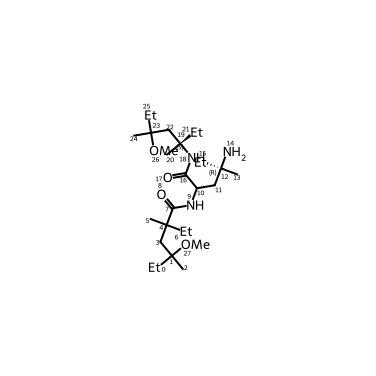 CCC(C)(CC(C)(CC)C(=O)NC(C[C@](C)(N)CC)C(=O)N[C@@](C)(CC)CC(C)(CC)OC)OC